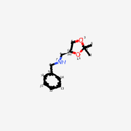 CC1(C)OC[C@H](CNCc2ccccc2)O1